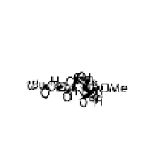 CONC[C@@]1(Br)C(=O)N2[C@@H](C(=O)OCOC(=O)C(C)(C)C)C(C)(C)S(=O)(=O)[C@@H]21